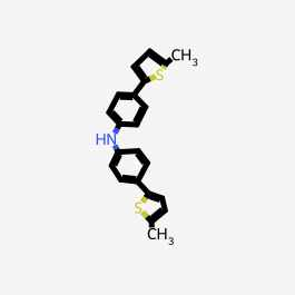 Cc1ccc(-c2ccc(Nc3ccc(-c4ccc(C)s4)cc3)cc2)s1